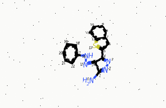 NC1=NN=C(c2cc3ccccc3s2)/C1=N\Nc1ccccc1